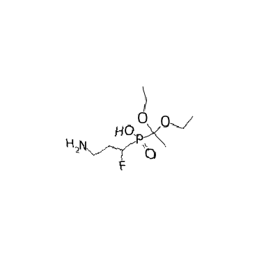 CCOC(C)(OCC)P(=O)(O)C(F)CCN